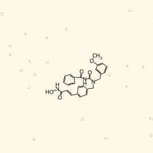 COc1cccc(CN(Cc2ccc(C=CC(=O)NO)cc2)C(=O)NC(=O)c2ccccc2)c1